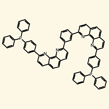 c1ccc(P(c2ccccc2)c2ccc(-c3ccc4ccc5ccc(-c6cccc(-c7ccc8ccc9ccc(-c%10ccc(P(c%11ccccc%11)c%11ccccc%11)cc%10)nc9c8n7)c6)nc5c4n3)cc2)cc1